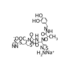 CC(ON=C(C(=O)NC1C(=O)N2C(C(=O)[O-])=C(CSc3nncs3)CS[C@@H]12)c1csc(N)n1)C(=O)NN=Cc1ccc(O)c(O)c1.[Na+]